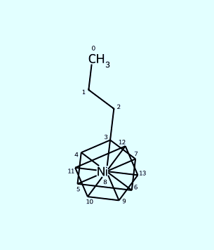 CCC[C]12[CH]3[CH]4[CH]5[CH]1[Ni]45321678[CH]2[CH]1[CH]6[CH]7[CH]28